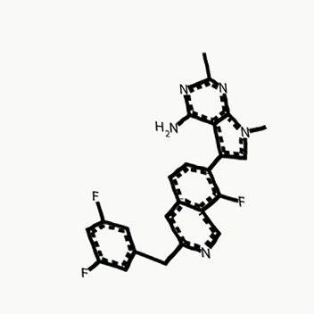 Cc1nc(N)c2c(-c3ccc4cc(Cc5cc(F)cc(F)c5)ncc4c3F)cn(C)c2n1